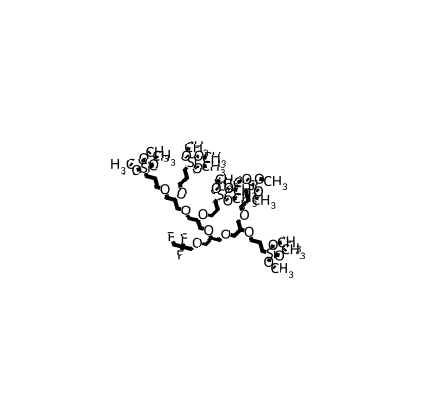 CO[Si](CCCOCC(COCC(COCC(F)(F)CF)OCC(COCC(COCCC[Si](OC)(OC)OC)OCCC[Si](OC)(OC)OC)OCCC[Si](OC)(OC)OC)OCCC[Si](OC)(OC)OC)(OC)OC